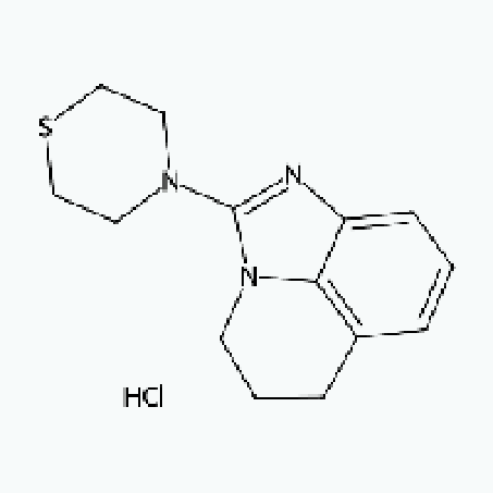 Cl.c1cc2c3c(c1)nc(N1CCSCC1)n3CCC2